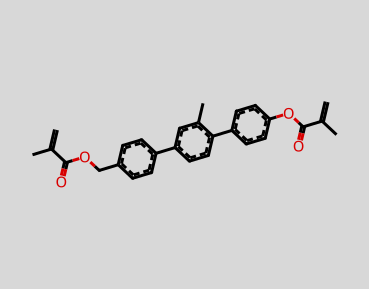 C=C(C)C(=O)OCc1ccc(-c2ccc(-c3ccc(OC(=O)C(=C)C)cc3)c(C)c2)cc1